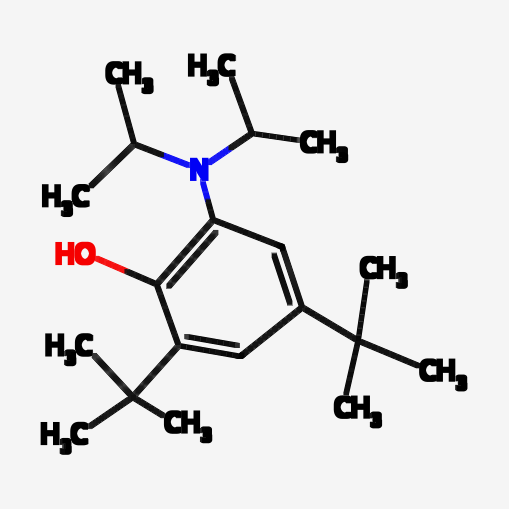 CC(C)N(c1cc(C(C)(C)C)cc(C(C)(C)C)c1O)C(C)C